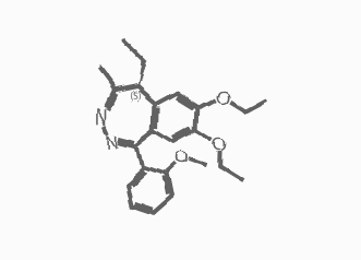 CCOc1cc2c(cc1OCC)[C@H](CC)C(C)=NN=C2c1ccccc1OC